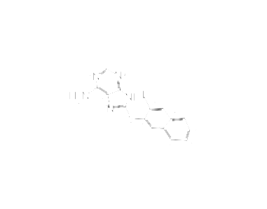 Nc1ncnc2[nH]c(Sc3cc4ccccc4cc3I)nc12